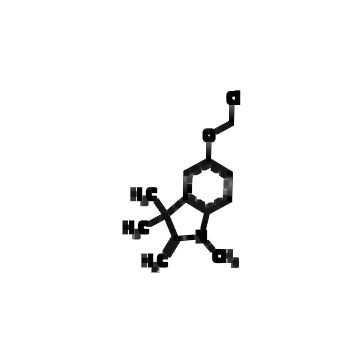 C=C1N(C)c2ccc(OCCl)cc2C1(C)C